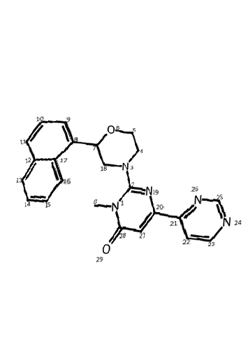 Cn1c(N2CCOC(c3cccc4ccccc34)C2)nc(-c2ccncn2)cc1=O